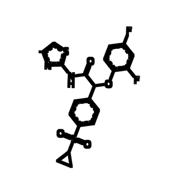 O=C(Nc1n[c]cs1)C(Oc1ccc(F)cc1F)c1ccc(S(=O)(=O)C2CC2)cc1